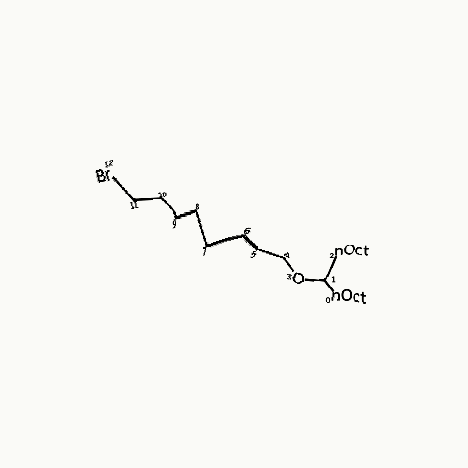 CCCCCCCCC(CCCCCCCC)OCCCCCCCCBr